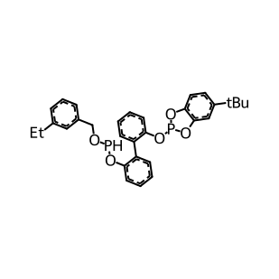 CCc1cccc(COPOc2ccccc2-c2ccccc2OP2Oc3ccc(C(C)(C)C)cc3O2)c1